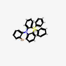 Brc1ccccc1N1c2ccccc2S(c2ccccc2)(c2ccccc2)c2ccccc21